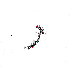 Cc1ncsc1-c1ccc(CNC(=O)[C@@H]2C[C@@H](O)CN2C(=O)[C@@H](NC(=O)COCC#CCOc2ccc(C(=O)N[C@@H](C)Cn3ccc(-c4ccc(C#N)c(Cl)c4)n3)cc2)C(C)(C)C)cc1